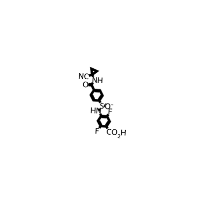 N#CC1(NC(=O)c2ccc([S+]([O-])Nc3cc(F)c(C(=O)O)cc3F)cc2)CC1